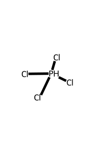 Cl[PH](Cl)(Cl)Cl